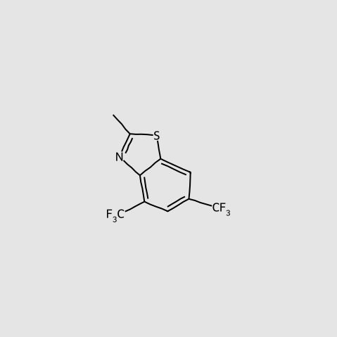 Cc1nc2c(C(F)(F)F)cc(C(F)(F)F)cc2s1